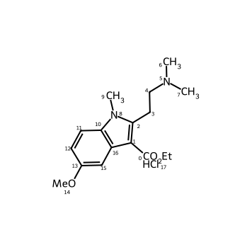 CCOC(=O)c1c(CCN(C)C)n(C)c2ccc(OC)cc12.Cl